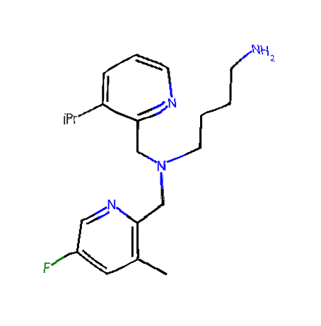 Cc1cc(F)cnc1CN(CCCCN)Cc1ncccc1C(C)C